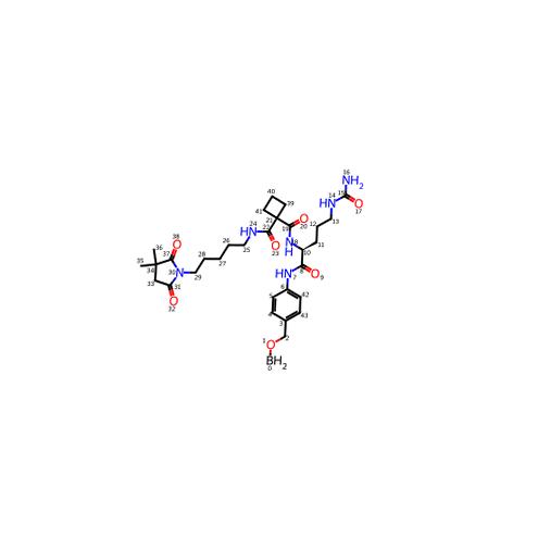 BOCc1ccc(NC(=O)[C@H](CCCNC(N)=O)NC(=O)C2(C(=O)NCCCCCN3C(=O)CC(C)(C)C3=O)CCC2)cc1